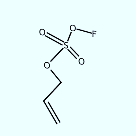 C=CCOS(=O)(=O)OF